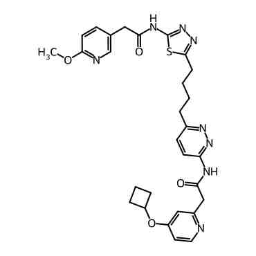 COc1ccc(CC(=O)Nc2nnc(CCCCc3ccc(NC(=O)Cc4cc(OC5CCC5)ccn4)nn3)s2)cn1